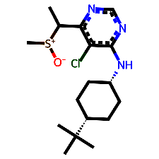 CC(c1ncnc(N[C@H]2CC[C@@H](C(C)(C)C)CC2)c1Cl)[S+](C)[O-]